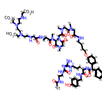 CCC(=O)NCCNC(=O)/N=C(/N)NCCC[C@@H](NC(=O)[C@@H](c1ccccc1)c1cccc(OCCCCNC(=O)CN(C)C(=O)CN(C)C(=O)CN(C)C(=O)CN(C)C(=O)CN(C)C(=O)CCNC(=O)CNCCN(CCN(CCNCC(=O)O)CC(=O)O)CC(=O)O)c1)C(=O)NCc1ccc(O)cc1